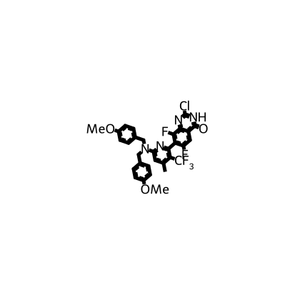 COc1ccc(CN(Cc2ccc(OC)cc2)c2cc(C)c(C(F)(F)F)c(-c3c(F)cc4c(=O)[nH]c(Cl)nc4c3F)n2)cc1